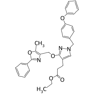 CCOC(=O)CCc1cn(Cc2ccc(Oc3ccccc3)cc2)nc1OCc1nc(-c2ccccc2)oc1C